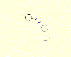 CC(C)S(=O)(=O)N[C@H]1CC[C@H](c2nc(-c3ccc(Cl)cc3)n[nH]2)CC1